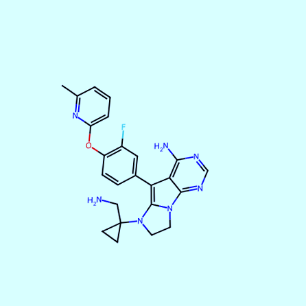 Cc1cccc(Oc2ccc(-c3c4n(c5ncnc(N)c35)CCN4C3(CN)CC3)cc2F)n1